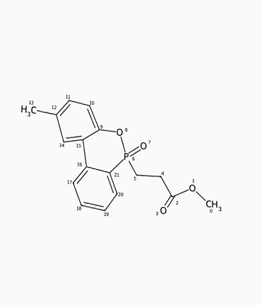 COC(=O)CCP1(=O)Oc2ccc(C)cc2-c2ccccc21